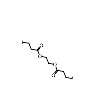 O=C(CCI)OCCOC(=O)CCI